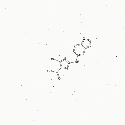 O=C(O)c1sc(Nc2ccc3occc3c2)nc1Br